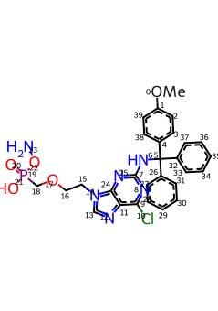 COc1ccc(C(Nc2nc(Cl)c3ncn(CCOCP(=O)(O)ON)c3n2)(c2ccccc2)c2ccccc2)cc1